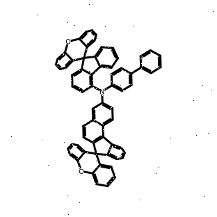 c1ccc(-c2ccc(N(c3ccc4c5c(ccc4c3)C3(c4ccccc4Oc4ccccc43)c3ccccc3-5)c3cccc4c3-c3ccccc3C43c4ccccc4Oc4ccccc43)cc2)cc1